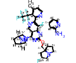 Cc1ccnc(-c2ncc3c(N4C[C@H]5CC[C@@H](C4)N5)nc(OC[C@@]45CCCN4C[C@H](F)C5)nc3c2F)c1C(F)(F)C(F)(F)F.Nc1ccccn1